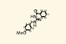 COc1ccc(CNc2nc3ccccc3c(=O)[nH]2)cc1